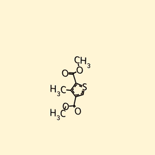 COC(=O)c1csc(C(=O)OC)c1C